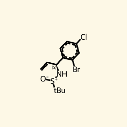 C=C[C@H](N[S+]([O-])C(C)(C)C)c1ccc(Cl)cc1Br